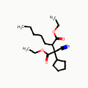 CCCCCC(C(=O)OCC)C(C#N)(C(=O)OCC)C1CCCC1